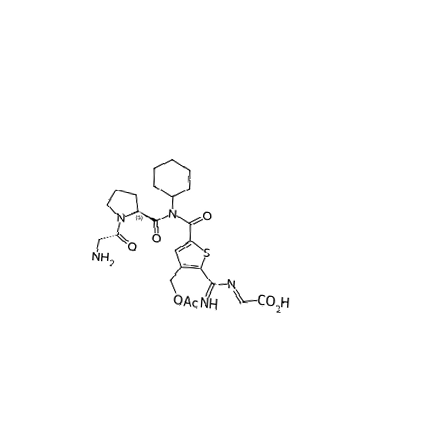 CC(=O)OCc1cc(C(=O)N(C(=O)[C@@H]2CCCN2C(=O)CN)C2CCCCC2)sc1C(=N)N=CC(=O)O